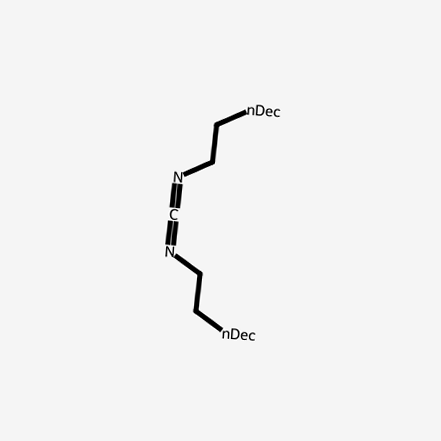 CCCCCCCCCCCCN=C=NCCCCCCCCCCCC